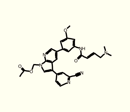 COc1cc(NC(=O)/C=C/CN(C)C)cc(-c2cnc3c(c2)c(-c2ccnc(C#N)c2)cn3COC(C)=O)c1